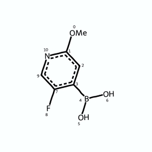 COc1cc(B(O)O)c(F)cn1